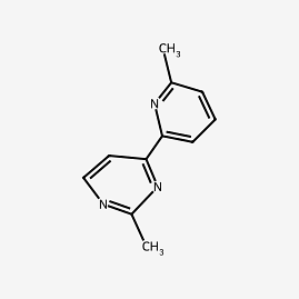 Cc1cccc(-c2ccnc(C)n2)n1